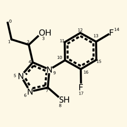 CCC(O)c1nnc(S)n1-c1ccc(F)cc1F